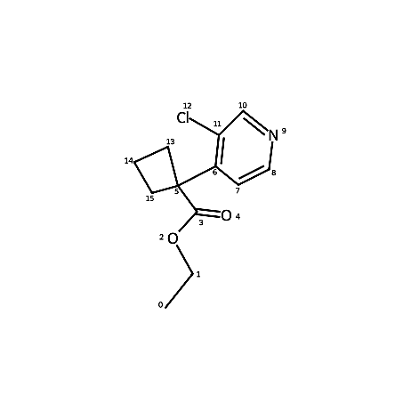 CCOC(=O)C1(c2ccncc2Cl)CCC1